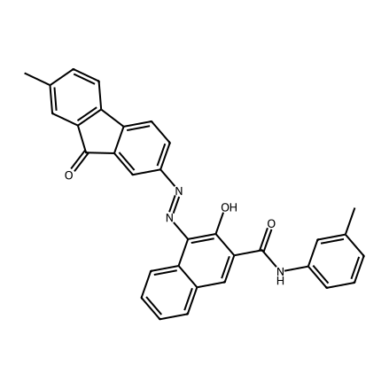 Cc1cccc(NC(=O)c2cc3ccccc3c(N=Nc3ccc4c(c3)C(=O)c3cc(C)ccc3-4)c2O)c1